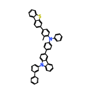 Cc1cc(-c2ccc3c(c2)sc2ccccc23)ccc1N(c1ccccc1)c1ccc(-c2ccc3c(c2)c2ccccc2n3-c2cccc(-c3ccccc3)c2)cc1